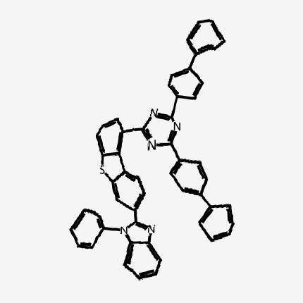 c1ccc(-c2ccc(-c3nc(-c4ccc(-c5ccccc5)cc4)nc(-c4cccc5sc6cc(-c7nc8ccccc8n7-c7ccccc7)ccc6c45)n3)cc2)cc1